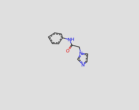 O=C(Cn1ccnc1)Nc1ccccc1